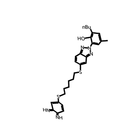 CCCCc1cc(C)cc(-n2nc3ccc(SCCCCCCSC4=CC(=N)C(=N)C=C4)cc3n2)c1O